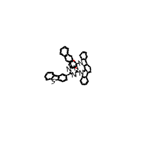 c1ccc(-n2c3ccccc3c3ccc4c5ccccc5n(-c5nc(-c6ccc7ccccc7c6)nc(-c6ccc7sc8ccccc8c7c6)n5)c4c32)cc1